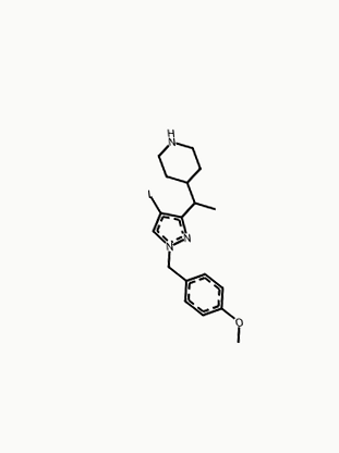 COc1ccc(Cn2cc(I)c(C(C)C3CCNCC3)n2)cc1